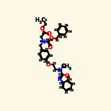 CCOC(=O)CN(Cc1ccc(OCCN(C)c2nc3ccccc3o2)cc1)C(=O)OCc1ccccc1